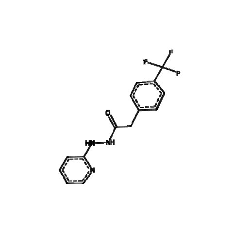 O=C(Cc1ccc(C(F)(F)F)cc1)NNc1ccccn1